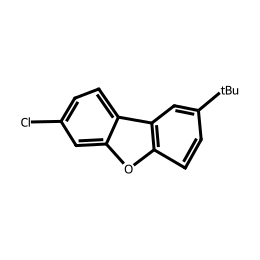 CC(C)(C)c1ccc2oc3cc(Cl)ccc3c2c1